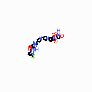 COc1cc2nc(C3CCN(CC4CCN(c5ccc6c(c5)C(=O)N(C5CCC(=O)NC5=O)C6=O)CC4)CC3)cn2cc1NC(=O)c1cccc(C(F)(F)F)n1